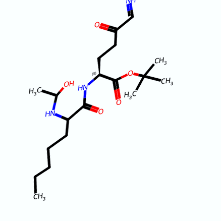 CCCCCC(NC(C)O)C(=O)N[C@@H](CCC(=O)C=N)C(=O)OC(C)(C)C